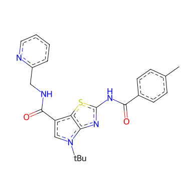 Cc1ccc(C(=O)Nc2nc3c(s2)c(C(=O)NCc2ccccn2)cn3C(C)(C)C)cc1